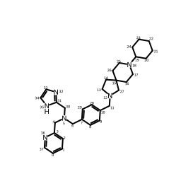 c1ccc(CN(Cc2ccc(CN3CCC4(CCN(C5CCCCC5)CC4)C3)cc2)Cc2ncc[nH]2)nc1